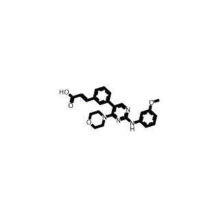 COc1cccc(Nc2ncc(-c3cccc(/C=C/C(=O)O)c3)c(N3CCOCC3)n2)c1